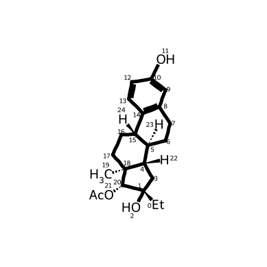 CC[C@]1(O)C[C@H]2[C@@H]3CCc4cc(O)ccc4[C@H]3CC[C@]2(C)[C@H]1OC(C)=O